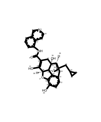 O=C(Nc1cccc2cnccc12)C1=C(O)[C@@H]2Oc3c(O)ccc4c3[C@@]23CCN(CC2CC2)[C@H](C4)[C@]3(O)C1